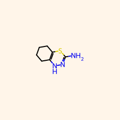 NC1=NNC2=C(CCCC2)S1